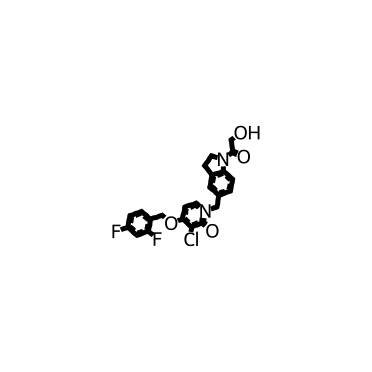 O=C(CO)N1CCc2cc(Cn3ccc(OCc4ccc(F)cc4F)c(Cl)c3=O)ccc21